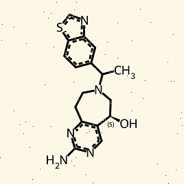 CC(c1ccc2scnc2c1)N1CCc2nc(N)ncc2[C@H](O)C1